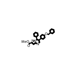 COC(=O)c1cc2ncc(-c3ccc(OCc4ccccc4)cc3)c(-c3ccccc3)n2n1